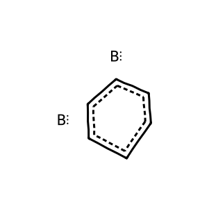 [B].[B].c1ccccc1